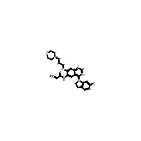 C=CC(=O)Nc1cc2c(N3CCc4ccc(Cl)cc43)ncnc2cc1OCCCN1CCOCC1